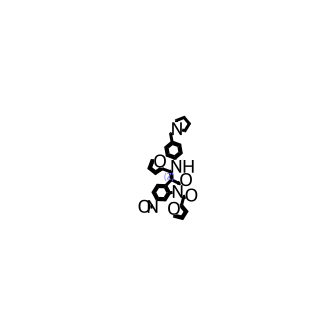 O=Nc1ccc2c(c1)N(C(=O)c1ccco1)C(=O)/C2=C(\Nc1ccc(CN2CCCC2)cc1)c1ccco1